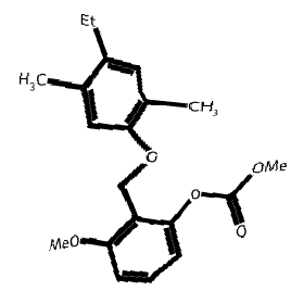 CCc1cc(C)c(OCc2c(OC)cccc2OC(=O)OC)cc1C